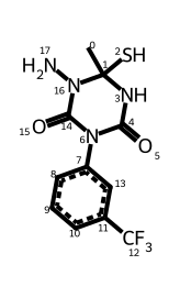 CC1(S)NC(=O)N(c2cccc(C(F)(F)F)c2)C(=O)N1N